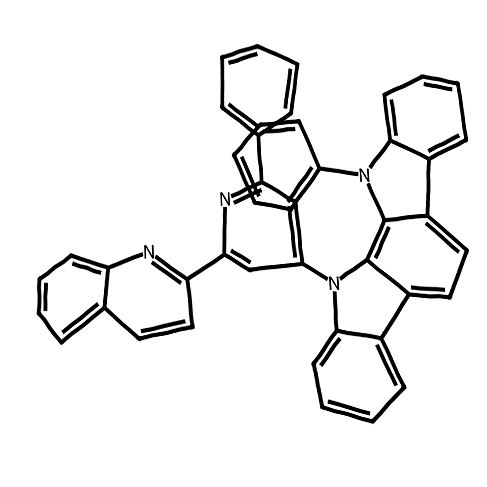 c1ccc(-c2cc(-n3c4ccccc4c4ccc5c6ccccc6n(-c6ccccc6)c5c43)cc(-c3ccc4ccccc4n3)n2)cc1